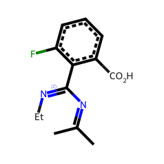 CC/N=C(\N=C(C)C)c1c(F)cccc1C(=O)O